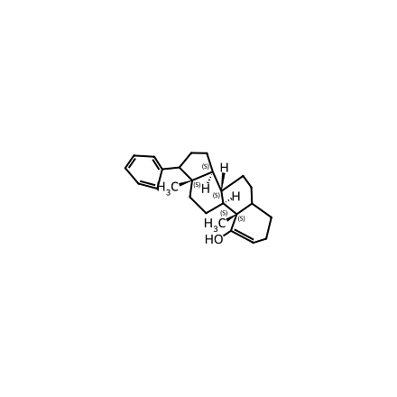 C[C@]12C(O)=CCCC1CC[C@@H]1[C@@H]2CC[C@]2(C)C(c3ccccc3)CC[C@@H]12